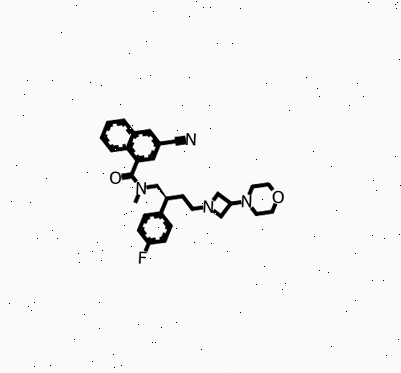 CN(C[C@@H](CCN1CC(N2CCOCC2)C1)c1ccc(F)cc1)C(=O)c1cc(C#N)cc2ccccc12